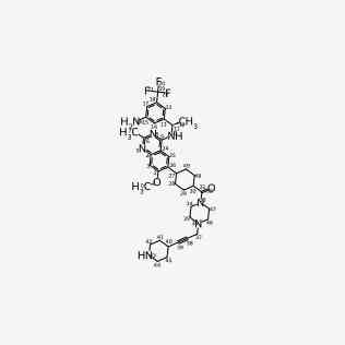 COc1cc2nc(C)nc(N[C@H](C)c3cc(N)cc(C(F)(F)F)c3)c2cc1C1CCC(C(=O)N2CCN(CC#CC3CCNCC3)CC2)CC1